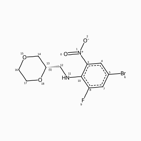 O=[N+]([O-])c1cc(Br)cc(F)c1NC[C@H]1COCCO1